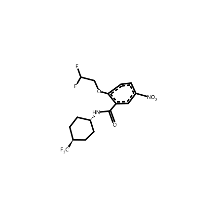 O=C(N[C@H]1CC[C@H](C(F)(F)F)CC1)c1cc([N+](=O)[O-])ccc1OCC(F)F